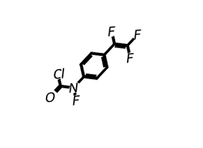 O=C(Cl)N(F)c1ccc(C(F)=C(F)F)cc1